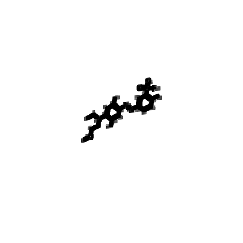 CCN(CCOC)c1cc(C)c(N=Nc2ccc(C)c(S(=O)(=O)F)c2)cc1C